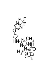 COC1([C@H]2C(=O)Nc3c(C)nc(N[C@H]4C[C@H](Oc5cnc(C(F)(F)F)nc5)C4)nc3N2C)CCC1